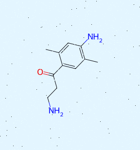 Cc1cc(C(=O)CCN)c(C)cc1N